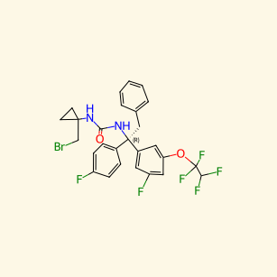 O=C(NC1(CBr)CC1)N[C@](Cc1ccccc1)(c1ccc(F)cc1)c1cc(F)cc(OC(F)(F)C(F)F)c1